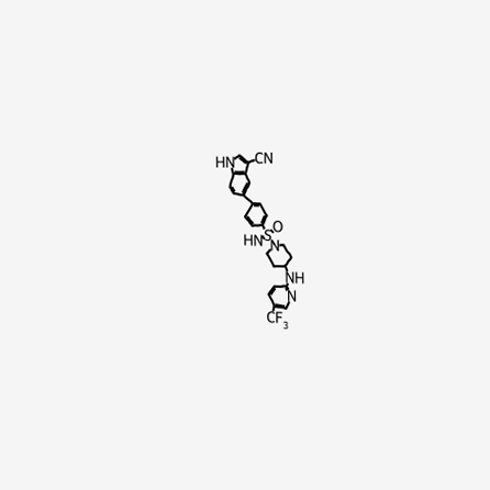 N#Cc1c[nH]c2ccc(-c3ccc([S@](=N)(=O)N4CCC(Nc5ccc(C(F)(F)F)cn5)CC4)cc3)cc12